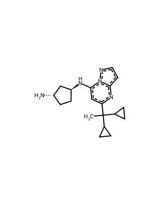 CC(c1cc(N[C@H]2CC[C@H](N)C2)n2nccc2n1)(C1CC1)C1CC1